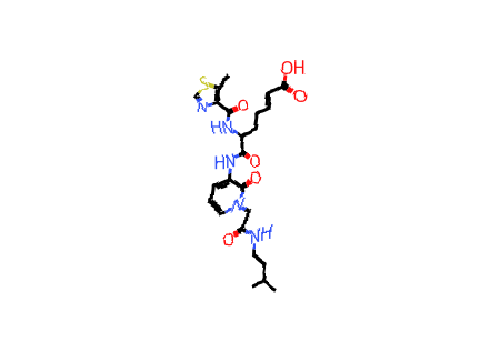 Cc1scnc1C(=O)NC(CC/C=C/C(=O)O)C(=O)Nc1cccn(CC(=O)NCCC(C)C)c1=O